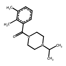 Cc1cccc(C(=O)N2CCN(C(C)C)CC2)c1C